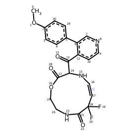 COc1ccc(-c2cnccc2C(=O)C2N/C=C\C(F)(F)C(=O)NCCOC2=O)cc1